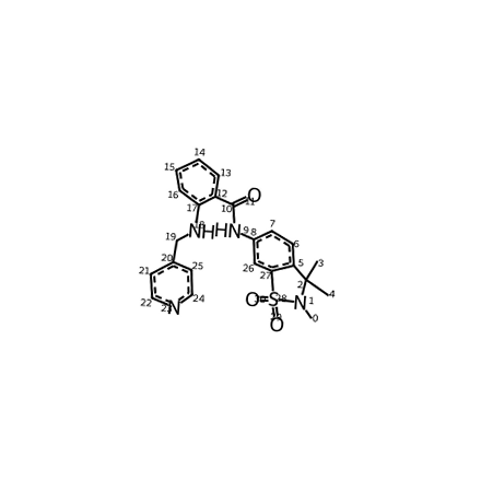 CN1C(C)(C)c2ccc(NC(=O)c3ccccc3NCc3ccncc3)cc2S1(=O)=O